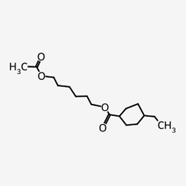 CCC1CCC(C(=O)OCCCCCCOC(C)=O)CC1